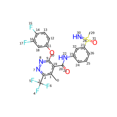 Cc1c(C(F)(F)F)nnc(Oc2ccc(F)c(F)c2)c1C(=O)Nc1cccc(S(C)(=N)=O)c1